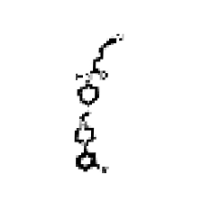 N#CCCCC(=O)N[C@H]1CC[C@H](CCN2CCN(c3cccc(Br)c3)CC2)CC1